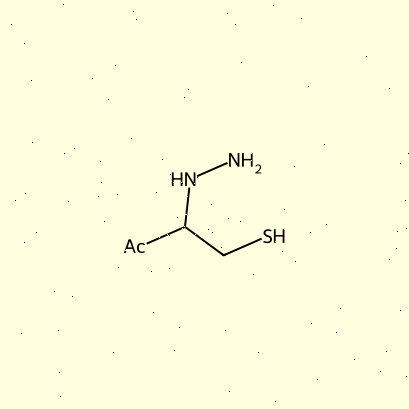 CC(=O)C(CS)NN